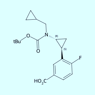 CC(C)(C)OC(=O)N(CC1CC1)[C@@H]1C[C@H]1c1cc(C(=O)O)ccc1F